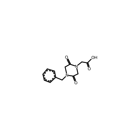 O=C(O)CN1CC(=O)N(Cc2ccccc2)CC1=O